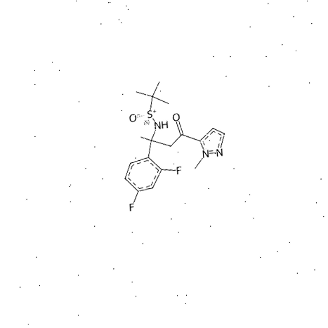 Cn1nccc1C(=O)CC(C)(N[S@+]([O-])C(C)(C)C)c1ccc(F)cc1F